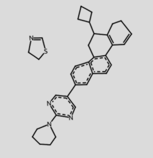 C1=CC2=C(CC1)C(C1CCC1)Cc1c2ccc2cc(-c3cnc(N4CCCCC4)nc3)ccc12.C1=NCCS1